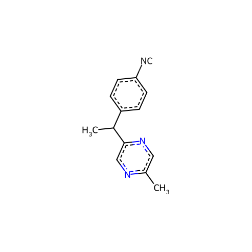 [C-]#[N+]c1ccc(C(C)c2cnc(C)cn2)cc1